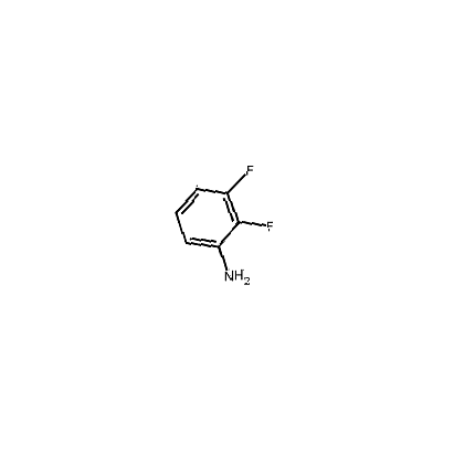 Nc1cc[c]c(F)c1F